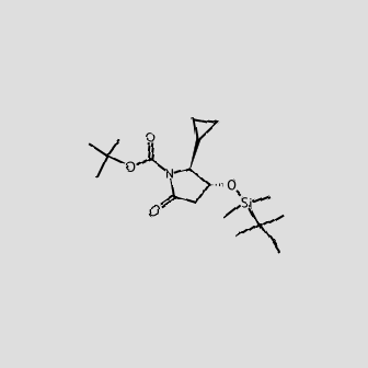 CC(C)(C)OC(=O)N1C(=O)C[C@@H](O[Si](C)(C)C(C)(C)C)[C@@H]1C1CC1